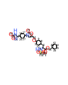 CCCS(=O)(=O)NC(Cc1ccc(OCC2CN(c3ccc(-c4noc(=O)[nH]4)cc3)C(=O)O2)cc1)C(=O)OCc1ccccc1